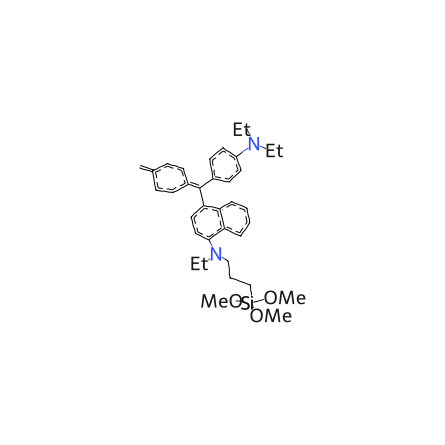 C=c1ccc(=C(c2ccc(N(CC)CC)cc2)c2ccc(N(CC)CCC[Si](OC)(OC)OC)c3ccccc23)cc1